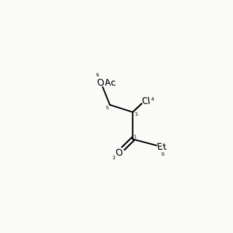 CCC(=O)C(Cl)COC(C)=O